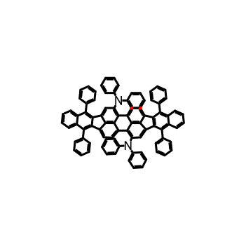 c1ccc(-c2c3c(c(-c4ccccc4)c4ccccc24)-c2cc(N(c4ccccc4)c4ccccc4)c4c5ccc6c7c(cc(N(c8ccccc8)c8ccccc8)c(c8ccc-3c2c84)c75)-c2c-6c(-c3ccccc3)c3ccccc3c2-c2ccccc2)cc1